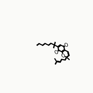 CCCCCCC(C)(C)C1=CC(=O)C2=C(OC(C)(CCC=C(C)C)C=C2)C1=O